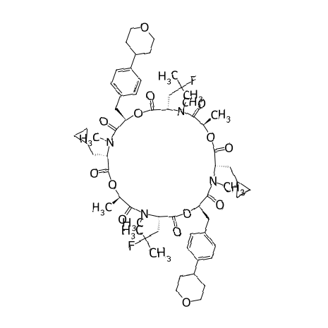 C[C@H]1OC(=O)[C@H](CC2CC2)N(C)C(=O)[C@@H](Cc2ccc(C3CCOCC3)cc2)OC(=O)[C@H](CC(C)(C)F)N(C)C(=O)[C@@H](C)OC(=O)[C@H](CC2CC2)N(C)C(=O)[C@@H](Cc2ccc(C3CCOCC3)cc2)OC(=O)[C@H](CC(C)(C)F)N(C)C1=O